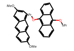 CCCOc1c2ccccc2c(OCCC)c2ccccc12.COc1ccc2cc3cc(OC)ccc3cc2c1